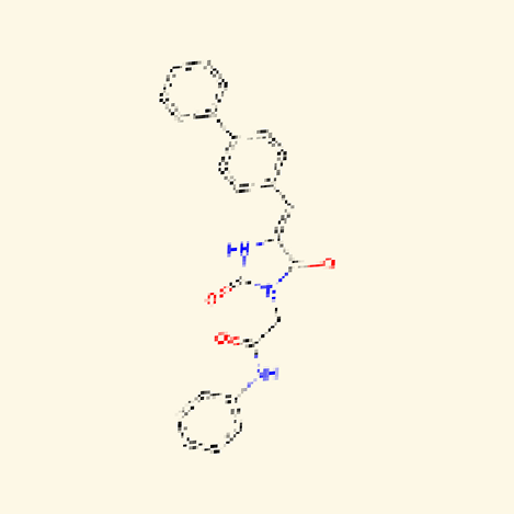 O=C(CN1C(=O)NC(=Cc2ccc(-c3ccccc3)cc2)C1=O)Nc1ccccc1